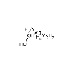 O.OO.[MgH2].[MgH2]